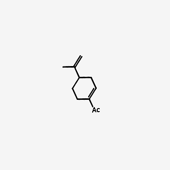 C=C(C)C1CC=C(C(C)=O)CC1